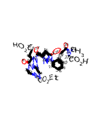 CCOC(=O)N1CCN(C(=O)C(CCC(=O)O)NC(=O)c2cc(OCC(=O)N(C)CC(=O)O)n(-c3ccccc3)n2)CC1